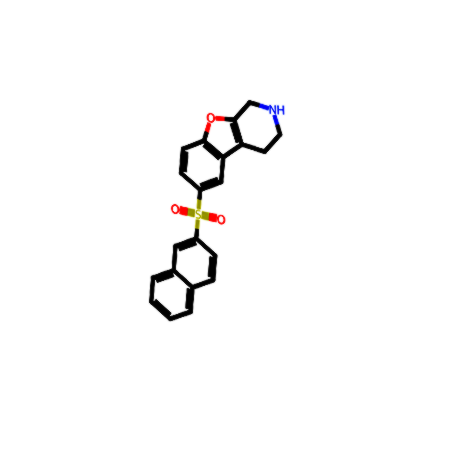 O=S(=O)(c1ccc2ccccc2c1)c1ccc2oc3c(c2c1)CCNC3